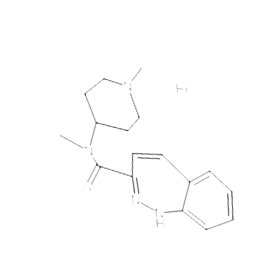 CN1CCC(N(C)C(=O)C2=NNc3ccccc3C=C2)CC1.Cl